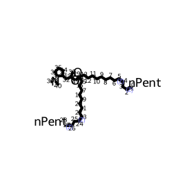 CCCCC/C=C\C/C=C\CCCCCCCCC1(CCCCCCCC/C=C\C/C=C\CCCCC)OCC(CC2CCCC2N(C)C)O1